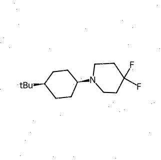 CC(C)(C)[C@H]1CC[C@@H](N2CCC(F)(F)CC2)CC1